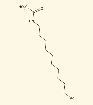 CC(=O)CCCCCCCCCCNC(=O)C(=O)O